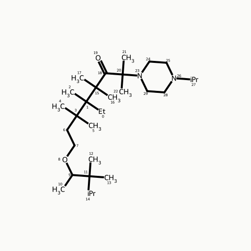 CCC(C)(C(C)(C)CCOC(C)C(C)(C)C(C)C)C(C)(C)C(=O)C(C)(C)N1CCN(C(C)C)CC1